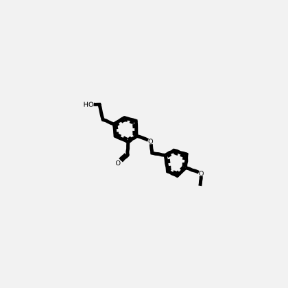 COc1ccc(COc2ccc(CCO)cc2C=O)cc1